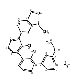 COc1cc(-c2nccc(-c3cccc(-c4ccc(C=O)c(OC)n4)c3Cl)c2Cl)cnc1C=O